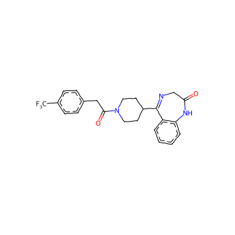 O=C1CN=C(C2CCN(C(=O)Cc3ccc(C(F)(F)F)cc3)CC2)c2ccccc2N1